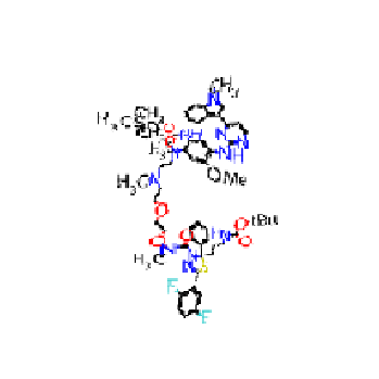 COc1cc(N(C)CCN(C)CCOCCON(C)C(=O)N2N=C(c3cc(F)ccc3F)S[C@@]2(CCCNC(=O)OC(C)(C)C)c2ccccc2)c(NC(=O)OCC[Si](C)(C)C)cc1Nc1nccc(-c2cn(C)c3ccccc23)n1